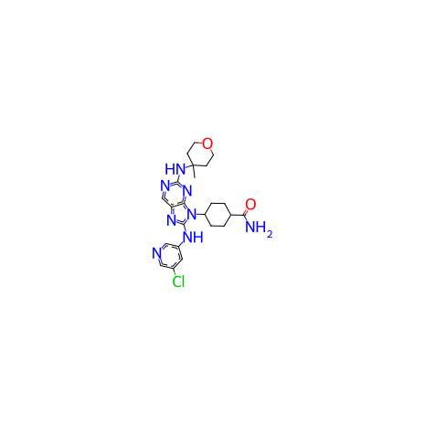 CC1(Nc2ncc3nc(Nc4cncc(Cl)c4)n(C4CCC(C(N)=O)CC4)c3n2)CCOCC1